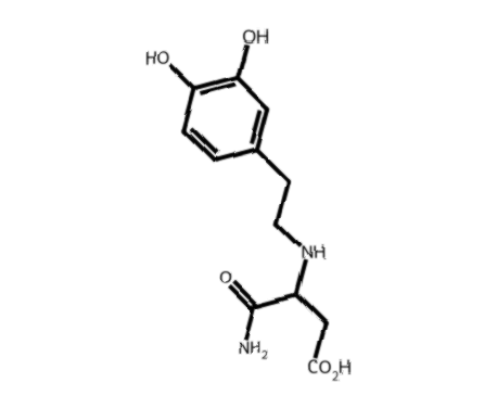 NC(=O)C(CC(=O)O)NCCc1ccc(O)c(O)c1